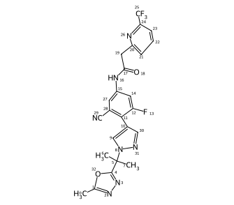 Cc1nnc(C(C)(C)n2cc(-c3c(F)cc(NC(=O)Cc4cccc(C(F)(F)F)n4)cc3C#N)cn2)o1